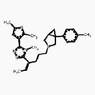 C/C=C(/CCCN1CC2CC2(c2ccc(C)cc2)C1)c1nnc(-c2cc(C)oc2C)n1C